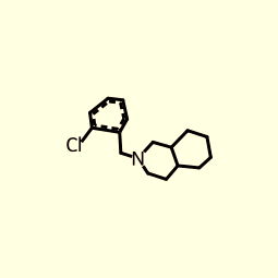 Clc1ccccc1CN1CCC2CCCCC2C1